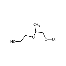 CCOCC(C)OCCO